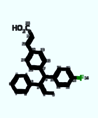 CC=C(c1ccccc1)C(c1ccc(F)cc1)c1ccc(C=CC(=O)O)cc1